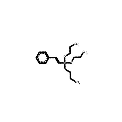 CCCO[Si](/C=C/c1ccccc1)(OCCC)OCCC